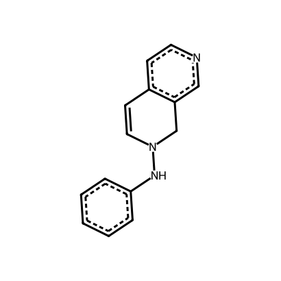 C1=CN(Nc2ccccc2)Cc2cnccc21